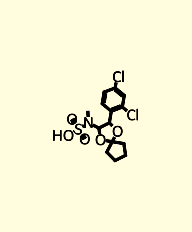 CN(C1OC2(CCCC2)OC1c1ccc(Cl)cc1Cl)S(=O)(=O)O